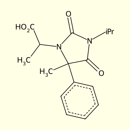 CC(C)N1C(=O)N(C(C)C(=O)O)C(C)(c2ccccc2)C1=O